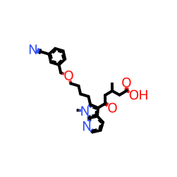 CC(CC(=O)O)CC(=O)c1c(CCCCOCc2cccc(C#N)c2)n(C)c2ncccc12